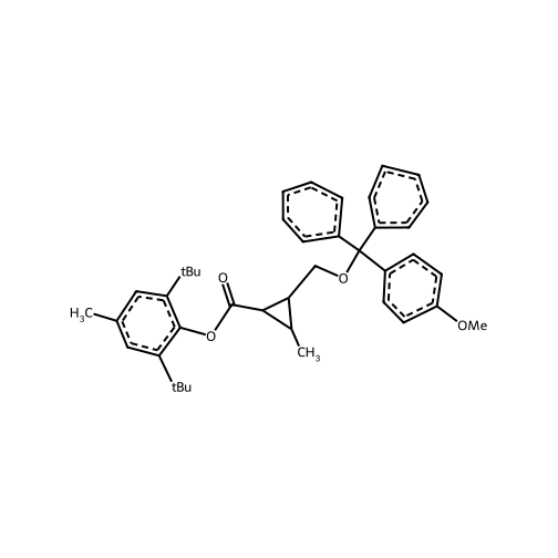 COc1ccc(C(OCC2C(C)C2C(=O)Oc2c(C(C)(C)C)cc(C)cc2C(C)(C)C)(c2ccccc2)c2ccccc2)cc1